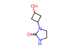 O=C1NCCN1C1CC(O)C1